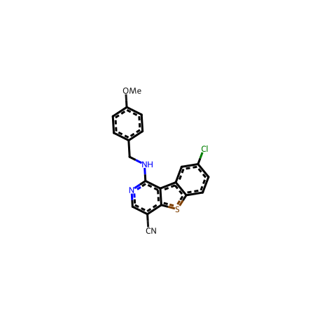 COc1ccc(CNc2ncc(C#N)c3sc4ccc(Cl)cc4c23)cc1